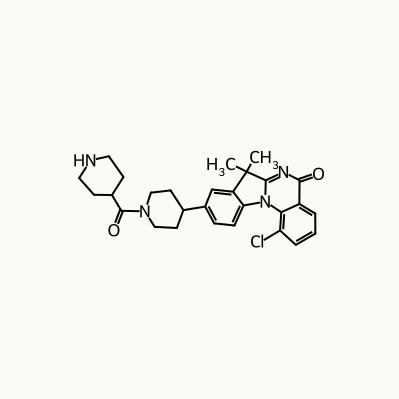 CC1(C)c2cc(C3CCN(C(=O)C4CCNCC4)CC3)ccc2-n2c1nc(=O)c1cccc(Cl)c12